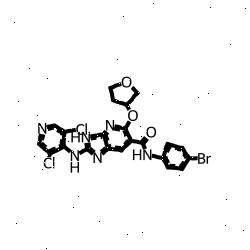 O=C(Nc1ccc(Br)cc1)c1cc2nc(Nc3c(Cl)cncc3Cl)[nH]c2nc1OC1CCOC1